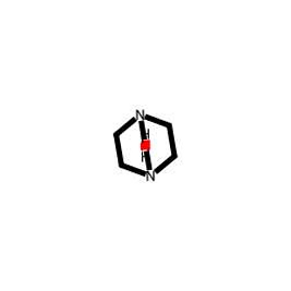 C1CN2CCN1NN2